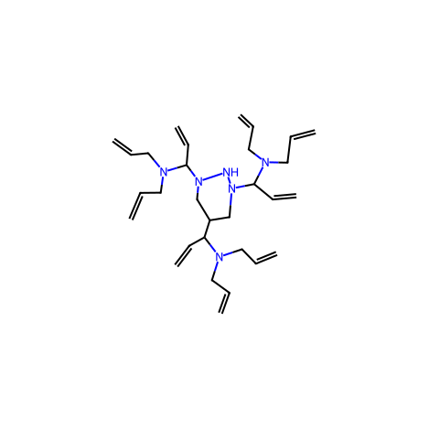 C=CCN(CC=C)C(C=C)C1CN(C(C=C)N(CC=C)CC=C)NN(C(C=C)N(CC=C)CC=C)C1